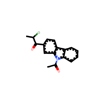 CC(=O)n1c2ccccc2c2ccc(C(=O)C(C)Cl)cc21